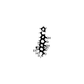 CCN(C)[C@@H]1C(O)=C(C(N)=O)C(=O)[C@@]2(O)C(O)=C3C(=O)c4c(O)cc(CN5CCCC5)cc4C[C@H]3C[C@@H]12